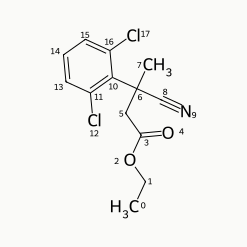 CCOC(=O)CC(C)(C#N)c1c(Cl)cccc1Cl